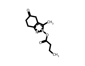 CCCC(=O)On1nc2c(c1C)CC(=O)CC2